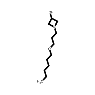 CCCCCCOCCCN1CC(O)C1